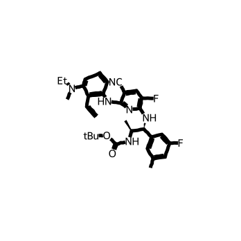 C=Cc1c(Nc2nc(N[C@H](c3cc(C)cc(F)c3)[C@H](C)NC(=O)OC(C)(C)C)c(F)cc2C#N)cccc1N(C)CC